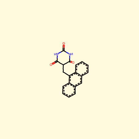 O=C1NC(=O)C(Cc2c3ccccc3cc3ccccc23)C(=O)N1